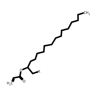 C=CC(=O)OC([CH2][K])CCCCCCCCCCCCCC